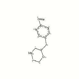 COc1ccc(CC2CNCCO2)cn1